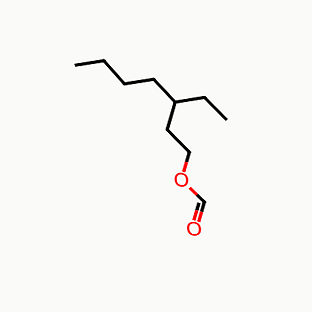 CCCCC(CC)CCOC=O